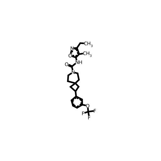 CCc1noc(NC(=O)N2CCC3(CC2)CC(c2cccc(OC(F)(F)F)c2)C3)c1C